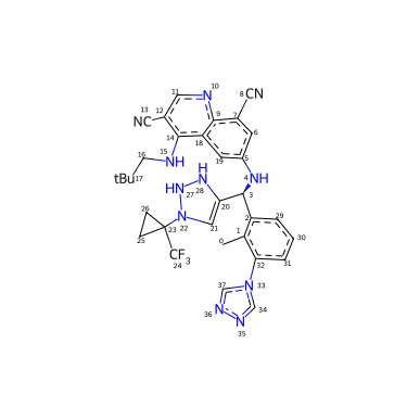 Cc1c([C@H](Nc2cc(C#N)c3ncc(C#N)c(NCC(C)(C)C)c3c2)C2=CN(C3(C(F)(F)F)CC3)NN2)cccc1-n1cnnc1